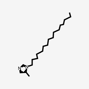 CCCCCCCCCCCCCCCCn1cncc1C